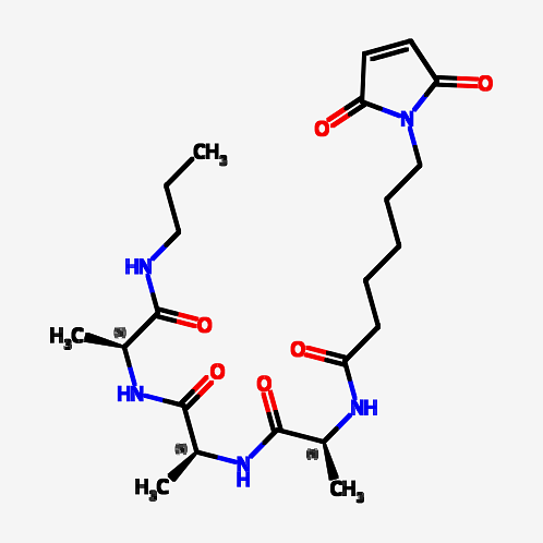 CCCNC(=O)[C@H](C)NC(=O)[C@H](C)NC(=O)[C@H](C)NC(=O)CCCCCN1C(=O)C=CC1=O